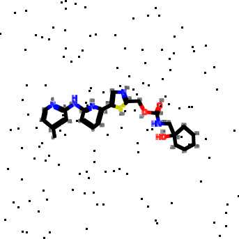 Cc1ccnc(Nc2cccc(-c3cnc(COC(=O)NCC4(O)CCCCC4)s3)n2)c1